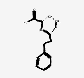 CC[C@H](CCc1ccccc1)N[C@@H](C)C(C)=O